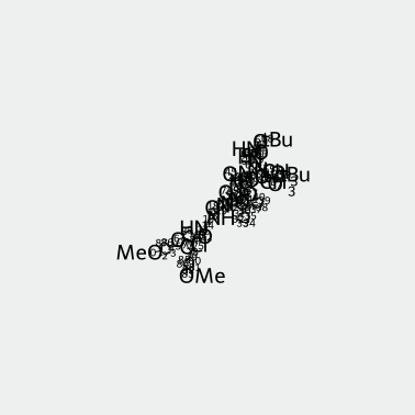 COc1ccc(COc2ccc(C(=O)NCCNC(=O)/C=N/N3CCN([C@]4(C(=O)OC(c5ccccc5)c5ccccc5)CN5C(=O)[C@@H](NC(=O)/C(=N\OC(C)(C)C(=O)OC(C)(C)C)c6csc(NC(=O)OC(C)(C)C)n6)[C@H]5S4)C3=O)c(Cl)c2OCc2ccc(OC)cc2)cc1